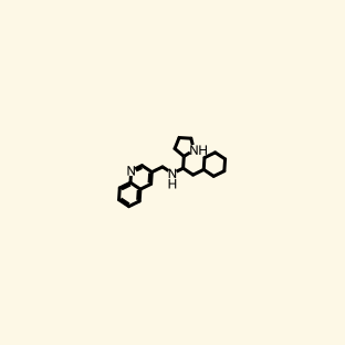 c1ccc2ncc(CNC(CC3CCCCC3)C3CCCN3)cc2c1